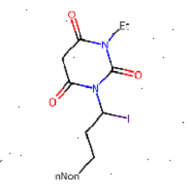 CCCCCCCCCCCC(I)N1C(=O)CC(=O)N(CC)C1=O